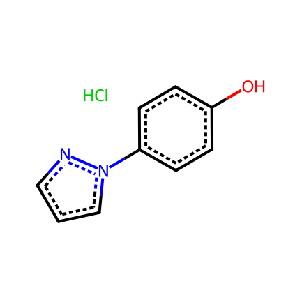 Cl.Oc1ccc(-n2cccn2)cc1